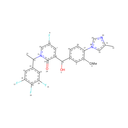 COc1cc(C(O)c2cc(F)cn(C(C)c3cc(F)c(F)c(F)c3)c2=O)ccc1-n1cnc(C)c1